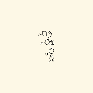 COc1cc(-c2nnc3n(C4CCOc5ccc(F)cc54)cc(F)cc2-3)ccc1-n1cnc(C)c1